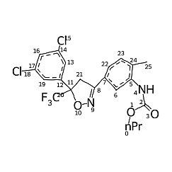 CCCOC(=O)Nc1cc(C2=NOC(c3cc(Cl)cc(Cl)c3)(C(F)(F)F)C2)ccc1C